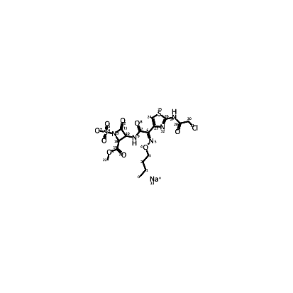 CCCCON=C(C(=O)NC1C(=O)N(S(=O)(=O)[O-])C1C(=O)OC)c1csc(NC(=O)CCl)n1.[Na+]